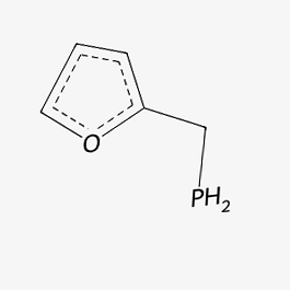 PCc1ccco1